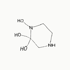 ON1CCNCC1(O)O